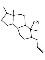 C=CCC1CCC2C3CCC(C)C3(C)CCC2C1(C)CCC